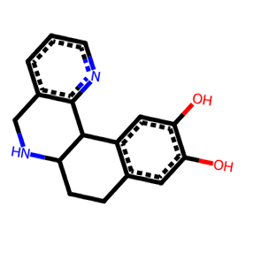 Oc1cc2c(cc1O)C1c3ncccc3CNC1CC2